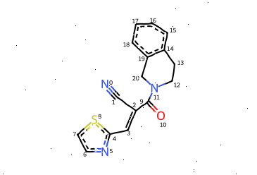 N#C/C(=C\c1nccs1)C(=O)N1CCc2ccccc2C1